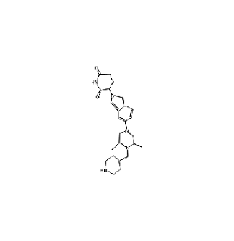 CC1CN(c2ccc3cn(C4CCC(=O)NC4=O)cc3c2)CC(C)N1CC1CCNCC1